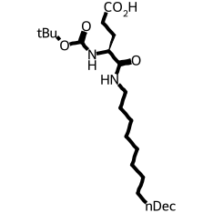 CCCCCCCCCCCCCCCCCCNC(=O)[C@H](CCC(=O)O)NC(=O)OC(C)(C)C